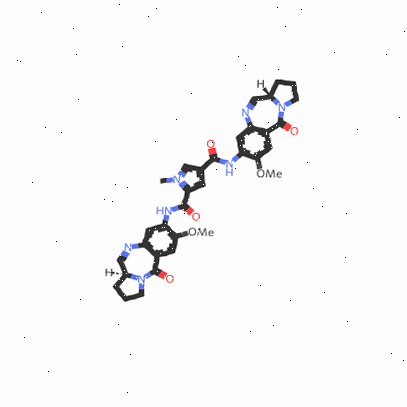 COc1cc2c(cc1NC(=O)c1cc(C(=O)Nc3cc4c(cc3OC)C(=O)N3CCC[C@H]3C=N4)n(C)c1)N=C[C@@H]1CCCN1C2=O